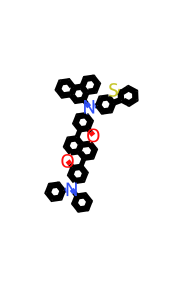 c1ccc(N(c2ccccc2)c2ccc3c(c2)Oc2ccc4c5c(ccc-3c25)Oc2cc(N(c3ccc5c(c3)sc3ccccc35)c3cc5ccccc5c5ccccc35)ccc2-4)cc1